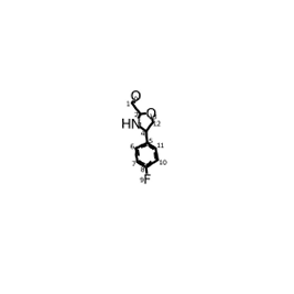 O=CC1NC(c2ccc(F)cc2)CO1